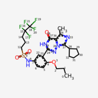 CCCOc1ccc(NS(=O)(=O)CCCC(F)(F)C(F)(F)F)cc1-c1nn2c(C3CCCC3)nc(C)c2c(=O)[nH]1